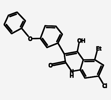 CCc1cc(Cl)cc2[nH]c(=O)c(-c3cccc(Oc4ccccc4)c3)c(O)c12